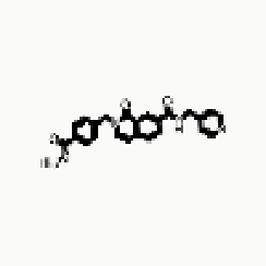 CC(C)(C)OC(=O)c1ccc(Cn2ccc3ccc(C(=O)NCc4ccncc4)cc3c2=O)cc1